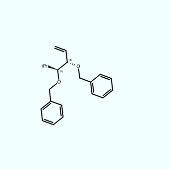 C=C[C@H](OCc1ccccc1)[C@@H](OCc1ccccc1)C(C)C